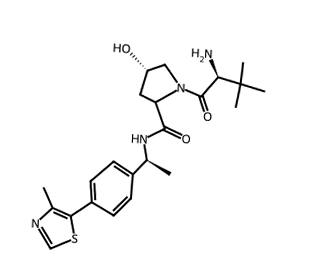 Cc1ncsc1-c1ccc([C@H](C)NC(=O)C2C[C@H](O)CN2C(=O)[C@@H](N)C(C)(C)C)cc1